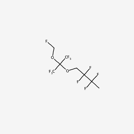 CC(F)(F)C(F)(F)COC(OCF)(C(F)(F)F)C(F)(F)F